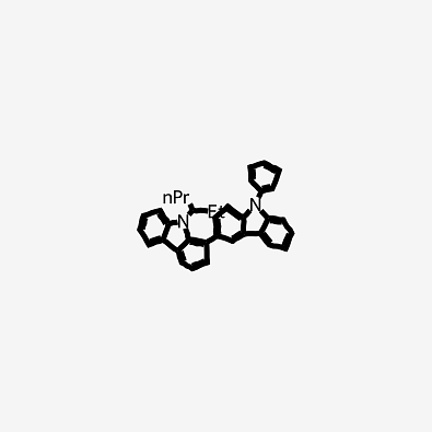 CCCC(CC)n1c2ccccc2c2cccc(-c3ccc4c(c3)c3ccccc3n4-c3ccccc3)c21